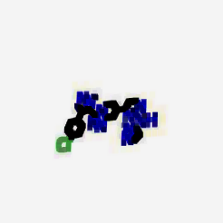 Cn1nccc1Nc1nccc(-c2ccn3c(-c4c(-c5ccc(Cl)cc5)cnn4C)nnc3c2)n1